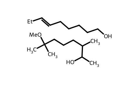 CCC=CCCCCCO.COC(C)(C)CCCC(C)C(C)O